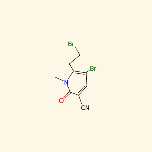 Cn1c(CCBr)c(Br)cc(C#N)c1=O